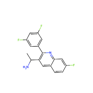 CC(N)c1cc2ccc(F)cc2nc1-c1cc(F)cc(F)c1